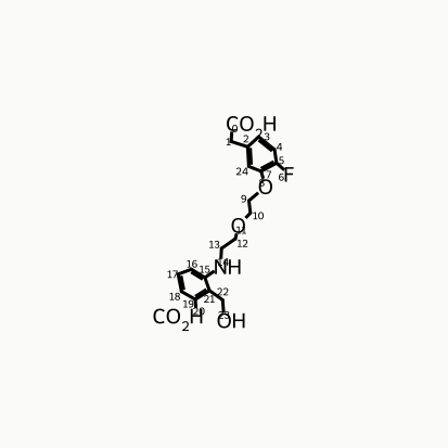 O=C(O)Cc1ccc(F)c(OCCOCCNc2cccc(C(=O)O)c2CO)c1